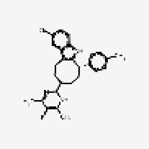 CC1=NC(C2CCc3c([nH]c4ccc(Cl)cc34)[C@H](c3ccc(C)cc3)CC2)NC(C)=C1F